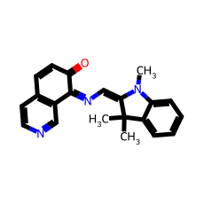 CN1/C(=C/N=C2\C(=O)C=Cc3ccncc32)C(C)(C)c2ccccc21